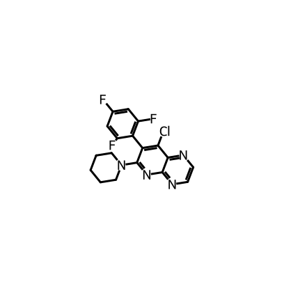 Fc1cc(F)c(-c2c(N3CCCCC3)nc3nccnc3c2Cl)c(F)c1